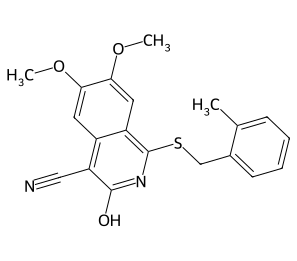 COc1cc2c(SCc3ccccc3C)nc(O)c(C#N)c2cc1OC